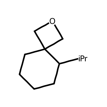 CC(C)C1CCCCC12COC2